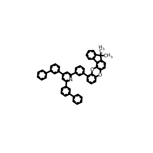 CC1(C)c2ccccc2-c2c1ccc1c2Oc2c(cccc2-c2cccc(-c3cc(-c4cccc(-c5ccccc5)c4)cc(-c4cccc(-c5ccccc5)c4)n3)c2)O1